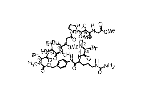 CCC(C)[C@@H]([C@@H](CC(=O)N1CCC[C@H]1[C@H](OC)[C@@H](C)C(=O)NCC(=O)OC)OC)N(C)C(=O)[C@@H](NC(=O)[C@H](C(C)C)N(C)C(=O)OCc1ccc(NC(=O)C(CCCNC(N)=O)NC(=O)[C@@H](N)C(C)C)cc1)C(C)C